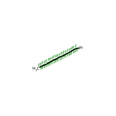 CC(C)C(F)(F)C(F)(F)C(F)(F)C(F)(F)C(F)(F)C(F)(F)C(F)(F)C(F)(F)C(F)(F)C(F)(F)C(F)(F)C(F)(F)C(F)(F)C(F)(F)C(F)(F)C(F)(F)C(F)(F)C(F)(F)C(F)(F)C(C)(F)F